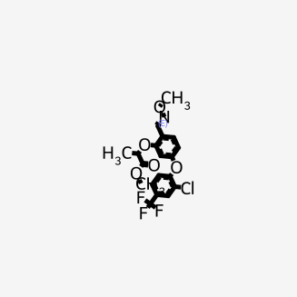 CO/N=C/c1ccc(Oc2ccc(C(F)(F)F)cc2Cl)cc1OC(C)C(=O)OC